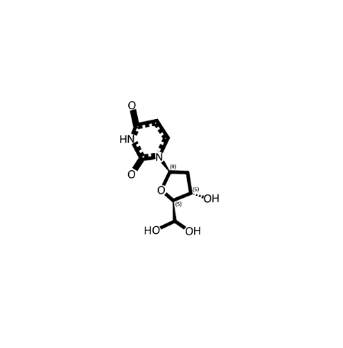 O=c1ccn([C@H]2C[C@H](O)[C@@H](C(O)O)O2)c(=O)[nH]1